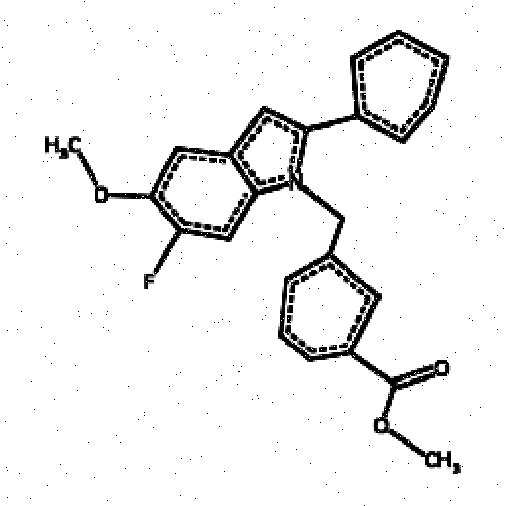 COC(=O)c1cccc(Cn2c(-c3ccccc3)cc3cc(OC)c(F)cc32)c1